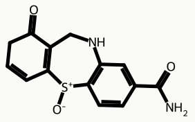 NC(=O)c1ccc2c(c1)NCC1=C(C=CCC1=O)[S+]2[O-]